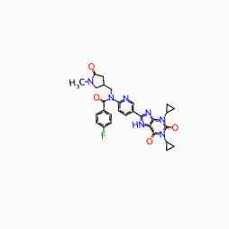 CN1CC(CN(C(=O)c2ccc(F)cc2)c2ccc(-c3nc4c([nH]3)c(=O)n(C3CC3)c(=O)n4C3CC3)cn2)CC1=O